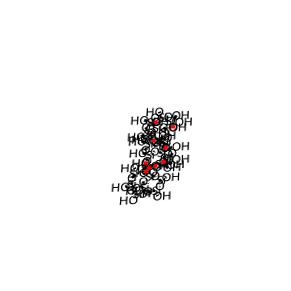 O[SiH]1O[Si]2(O)O[Si]3(O)O[Si](O)(O)O[Si]4(O)O[Si](O)(O1)O[Si](O)(O2)O[Si](O[Si]12O[Si](O)(O)O[Si]5(O)O[Si]6(O)O[SiH](O)O[Si](O)(O1)O[Si](O[Si]17O[SiH](O)O[Si]8(O)O[Si]9(O)O[Si](O)(O)O[Si](O)(O[Si](O)(O9)O[Si](O)(O8)O1)O7)(O6)O[Si](O)(O5)O2)(O3)O4